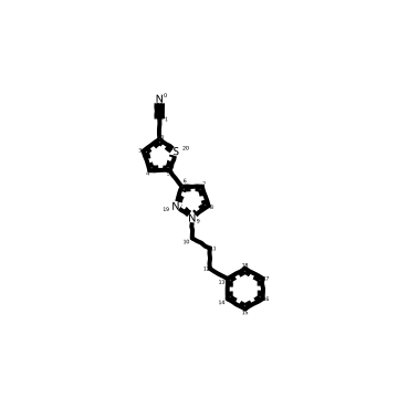 N#Cc1ccc(-c2ccn(CCCc3ccccc3)n2)s1